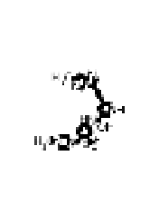 Cc1cc2ncc(C#CC3=CC(C(O)Nc4ccc(CN5CCN(C)CC5)c(C(F)(F)F)c4)=CNC3)n2cn1